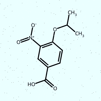 CC(C)Oc1ccc(C(=O)O)cc1[N+](=O)[O-]